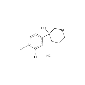 Cl.OC1(c2ccc(Cl)c(Cl)c2)CCCNC1